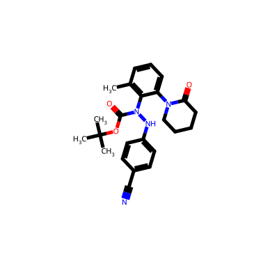 Cc1cccc(N2CCCCC2=O)c1N(Nc1ccc(C#N)cc1)C(=O)OC(C)(C)C